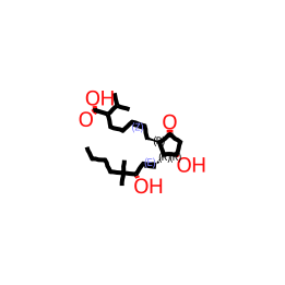 CCCCC(C)(C)C(O)/C=C/[C@H]1[C@H](O)CC(=O)[C@@H]1C/C=C\CCC(C(=O)O)C(C)C